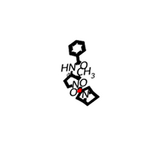 CCOC(=O)N1C2CCC1CC(N1CC[C@@H](NC(=O)c3ccccc3)C1)C2